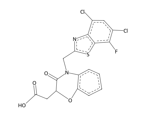 O=C(O)CC1Oc2ccccc2N(Cc2nc3c(Cl)cc(Cl)c(F)c3s2)C1=O